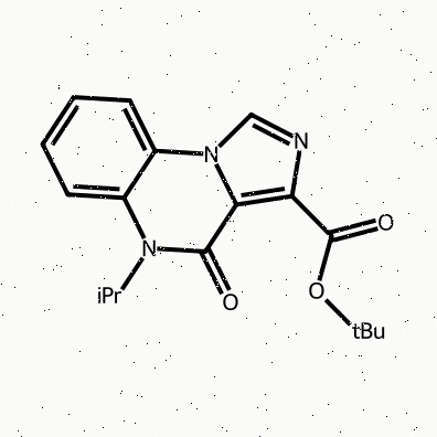 CC(C)n1c(=O)c2c(C(=O)OC(C)(C)C)ncn2c2ccccc21